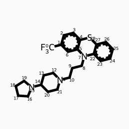 FC(F)(F)c1ccc2c(c1)N(CCCN1CCC(N3CCCC3)CC1)c1ccccc1S2